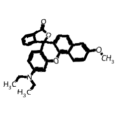 CCN(CC)c1ccc2c(c1)Oc1c(ccc3cc(OC)ccc13)C21OC(=O)c2ccccc21